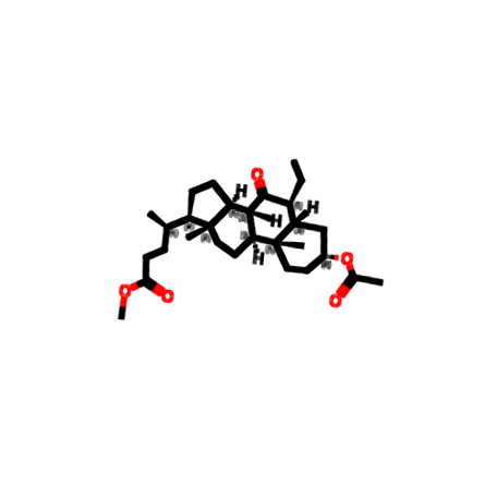 CC[C@@H]1C(=O)[C@@H]2[C@H](CC[C@]3(C)[C@@H]([C@H](C)CCC(=O)OC)CC[C@@H]23)[C@@]2(C)CC[C@@H](OC(C)=O)C[C@@H]12